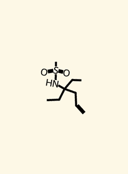 C=CCC(CC)(CC)NS(C)(=O)=O